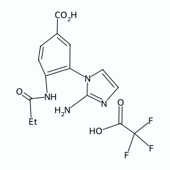 CCC(=O)Nc1ccc(C(=O)O)cc1-n1ccnc1N.O=C(O)C(F)(F)F